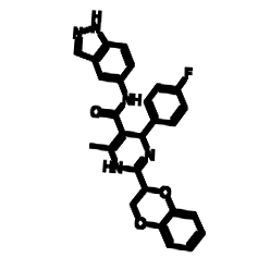 CC1=C(C(=O)Nc2ccc3[nH]ncc3c2)C(c2ccc(F)cc2)N=C(C2COc3ccccc3O2)N1